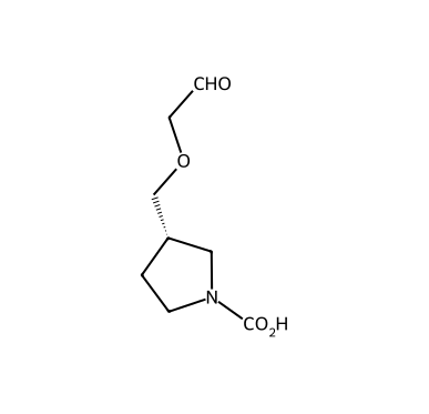 O=CCOC[C@H]1CCN(C(=O)O)C1